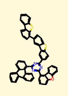 c1ccc2c(c1)oc1cccc(-c3nc(-c4ccc5sc6ccc(-c7cccc8c7sc7ccccc78)cc6c5c4)nc(-c4cccc5c6ccccc6c6ccccc6c45)n3)c12